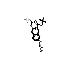 COCOc1ccc2c(c1)CN(C(=O)OC(C)(C)C)[C@H](CCN)C2